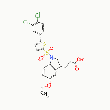 CCOc1ccc2c(c1)C(CCC(=O)O)CN2S(=O)(=O)c1ccc(-c2ccc(Cl)c(Cl)c2)s1